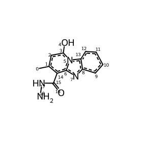 Cc1cc(O)n2c(nc3ccccc32)c1C(=O)NN